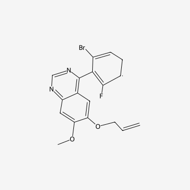 C=CCOc1cc2c(C3=C(F)[CH]CC=C3Br)ncnc2cc1OC